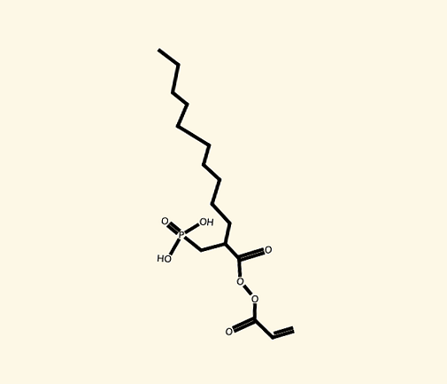 C=CC(=O)OOC(=O)C(CCCCCCCCCC)CP(=O)(O)O